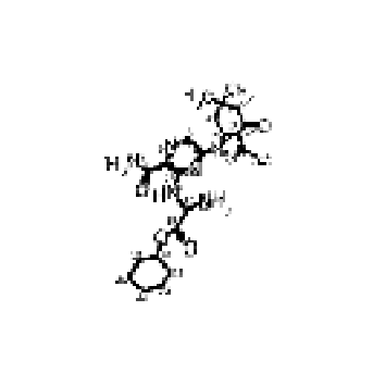 CCc1nn(-c2cnc(C(N)=O)c(NC(N)C(=O)OC3CCCCC3)n2)c2c1C(=O)CC(C)(C)C2